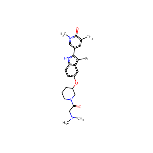 Cc1cc(-c2[nH]c3ccc(OC4CCCN(C(=O)CN(C)C)C4)cc3c2C(C)C)cn(C)c1=O